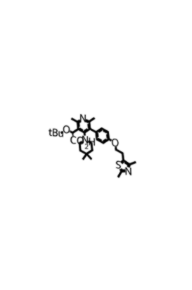 Cc1nc(C)c(CCOc2ccc(-c3c(C)nc(C)c([C@H](OC(C)(C)C)C(=O)O)c3N3CCC(C)(C)CC3)cc2)s1